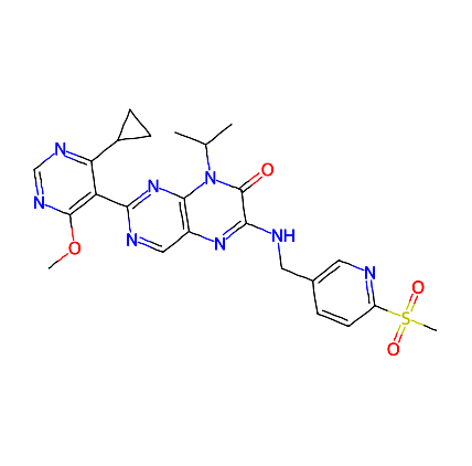 COc1ncnc(C2CC2)c1-c1ncc2nc(NCc3ccc(S(C)(=O)=O)nc3)c(=O)n(C(C)C)c2n1